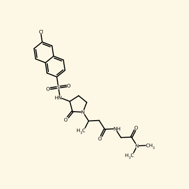 CC(CC(=O)NCC(=O)N(C)C)N1CCC(NS(=O)(=O)c2ccc3cc(Cl)ccc3c2)C1=O